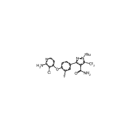 CC(C)(C)n1nc(-c2ccc(Oc3ccnc(N)c3Cl)c(F)c2)c(C(N)=O)c1C(F)(F)F